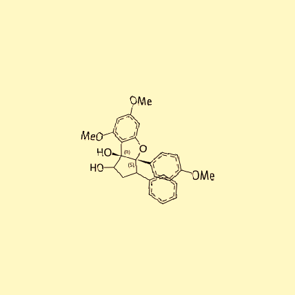 COc1ccc([C@]23Oc4cc(OC)cc(OC)c4[C@@]2(O)C(O)CC3c2ccccc2)cc1